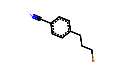 N#Cc1ccc(CCCBr)cc1